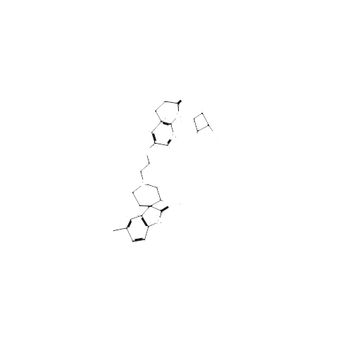 Cc1ccc2c(c1)C1(CCN(CCOc3cnc4c(c3)CCC(=O)N4[C@H]3C[C@](C)(O)C3)CC1)C(=O)N2